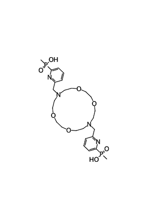 CP(=O)(O)c1cccc(CN2CCOCCOCCN(Cc3cccc(P(C)(=O)O)n3)CCOCCOCC2)n1